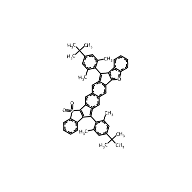 Cc1cc(C(C)(C)C)cc(C)c1C1=c2cc3cc4c(cc3cc2C2=C1c1ccccc1S2(=O)=O)=C(c1c(C)cc(C(C)(C)C)cc1C)c1c-4oc2ccccc12